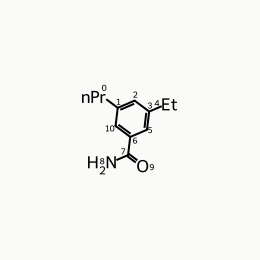 CCCc1cc(CC)cc(C(N)=O)c1